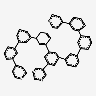 C1=CC(c2cc(-c3cncnc3)cc(-c3cccc(-c4cccc(-c5cccc(-c6ccncc6)c5)c4)c3)c2)=CC(c2cccc(-c3cccc(-c4ccncc4)c3)c2)C1